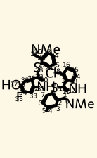 CNCc1cc(C)ccc1Sc1c[nH]c2cccc(Cl)c12.CNCc1ccccc1Sc1c[nH]c2cc(F)c(O)cc12